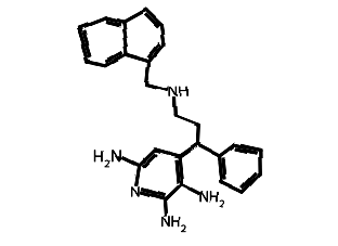 Nc1cc(C(CCNCc2cccc3ccccc23)c2ccccc2)c(N)c(N)n1